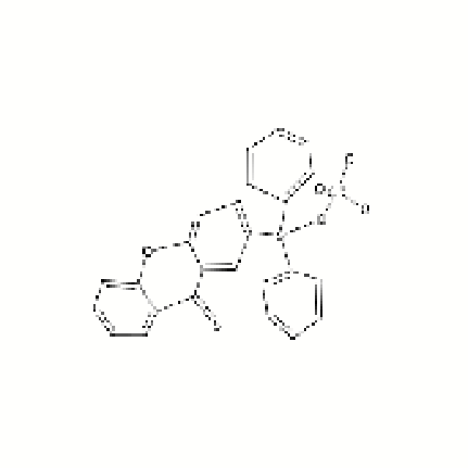 [O-][Cl+3]([O-])([O-])OS(c1ccccc1)(c1ccccc1)c1ccc2oc3ccccc3c(=S)c2c1